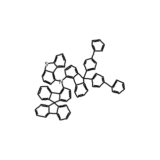 c1ccc(-c2ccc(C3(c4ccc(-c5ccccc5)cc4)c4ccccc4-c4c(N(c5cccc6c5-c5ccccc5C65c6ccccc6-c6ccccc65)c5cccc6sc7ccccc7c56)cccc43)cc2)cc1